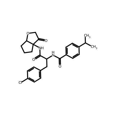 CC(C)c1ccc(C(=O)NC(Cc2ccc(Cl)cc2)C(=O)NC23CCCC2OCC3=O)cc1